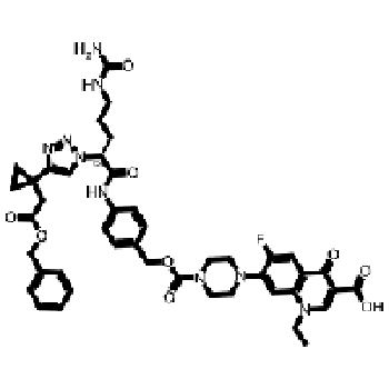 CCn1cc(C(=O)O)c(=O)c2cc(F)c(N3CCN(C(=O)OCc4ccc(NC(=O)[C@H](CCCNC(N)=O)n5cc(C6(CC(=O)OCc7ccccc7)CC6)nn5)cc4)CC3)cc21